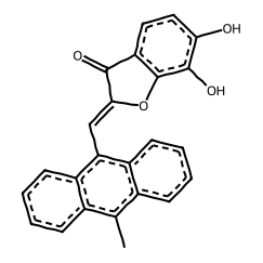 Cc1c2ccccc2c(C=C2Oc3c(ccc(O)c3O)C2=O)c2ccccc12